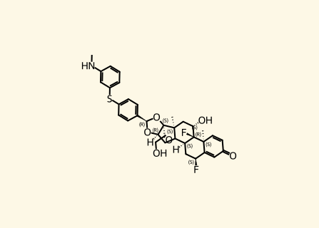 CNc1cccc(Sc2ccc([C@@H]3O[C@@H]4CC5[C@@H]6C[C@H](F)C7=CC(=O)C=C[C@]7(C)[C@@]6(F)[C@@H](O)C[C@]5(C)[C@]4(C(=O)CO)O3)cc2)c1